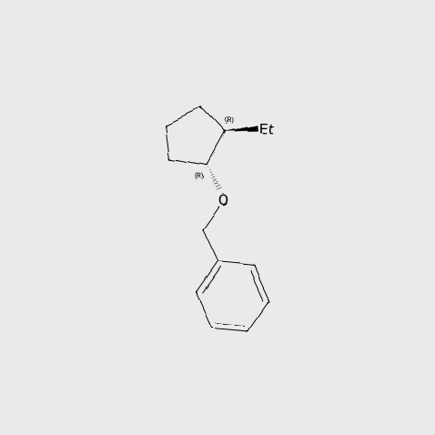 CC[C@@H]1CCC[C@H]1OCc1ccccc1